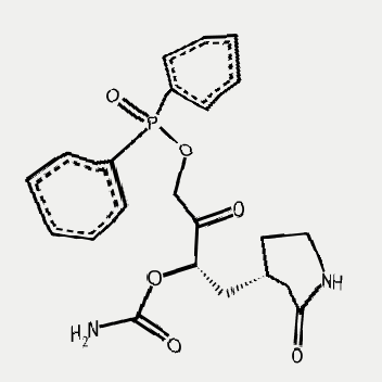 NC(=O)O[C@@H](C[C@@H]1CCNC1=O)C(=O)COP(=O)(c1ccccc1)c1ccccc1